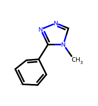 Cn1cnnc1-c1cc[c]cc1